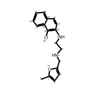 Cc1ccc(CNCCNc2ccc3ccccc3c2Cl)o1